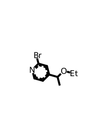 CCOC(C)c1ccnc(Br)c1